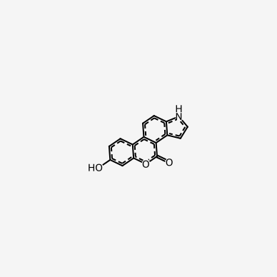 O=c1oc2cc(O)ccc2c2ccc3[nH]ccc3c12